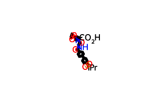 CC(C)S(=O)(=O)c1ccc(-c2ccc(C(=O)NCC(=O)N3CC4(C[C@H]3C(=O)O)OCCO4)cc2)cc1